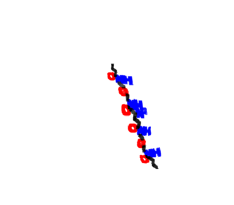 CCCC(=O)NCCOCCNC(=O)CC[C@H](N)C(=O)NCCOCCNC(=O)CCC